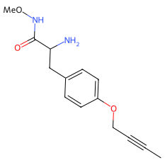 CC#CCOc1ccc(CC(N)C(=O)NOC)cc1